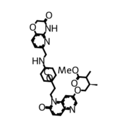 COC(=O)C(C)[C@@H](C)COc1cnc2ccc(=O)n(CCC34CCC(NCc5ccc6c(n5)NC(=O)CO6)(CC3)CO4)c2c1